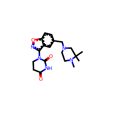 CN1CCN(Cc2ccc3onc(N4CCC(=O)NC4=O)c3c2)CC1(C)C